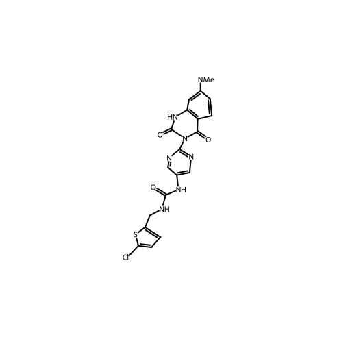 CNc1ccc2c(=O)n(-c3ncc(NC(=O)NCc4ccc(Cl)s4)cn3)c(=O)[nH]c2c1